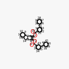 O=C(O[C@@H]1C2CC(C3c4ccccc4CC32)[C@@H]1OC(=O)c1cccc(-c2ccccc2)c1)c1cccc(-c2ccccc2)c1